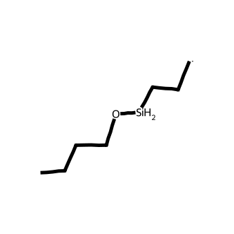 [CH2]CC[SiH2]OCCCC